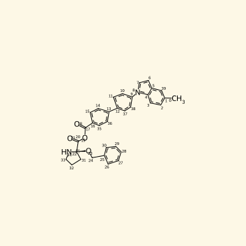 Cc1ccc2c(ccn2-c2ccc(-c3ccc(C(=O)OC(=O)[C@]4(OCc5ccccc5)CCCN4)cc3)cc2)c1